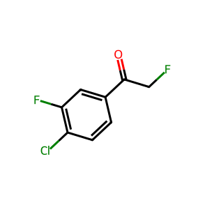 O=C(CF)c1ccc(Cl)c(F)c1